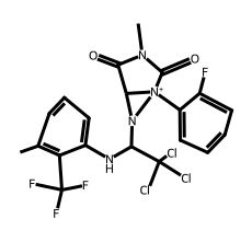 Cc1cccc(NC(N2C3C(=O)N(C)C(=O)[N+]32c2ccccc2F)C(Cl)(Cl)Cl)c1C(F)(F)F